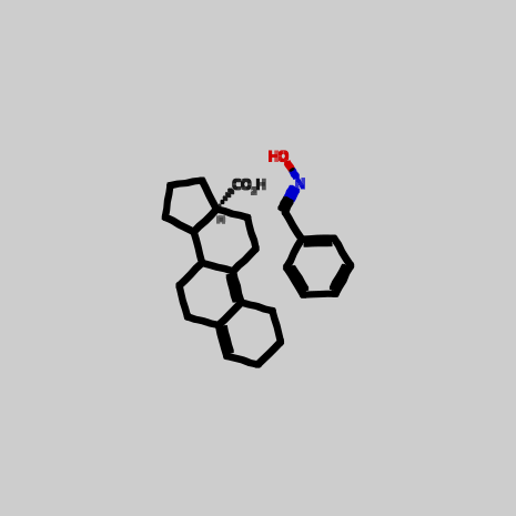 O=C(O)[C@@]12CCCC1C1CCC3=CCCCC3=C1CC2.ON=Cc1ccccc1